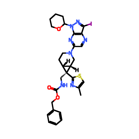 Cc1csc([C@@]2(CNC(=O)OCc3ccccc3)[C@@H]3CCN(c4cnc5c(I)nn(C6CCCCO6)c5n4)C[C@@H]32)n1